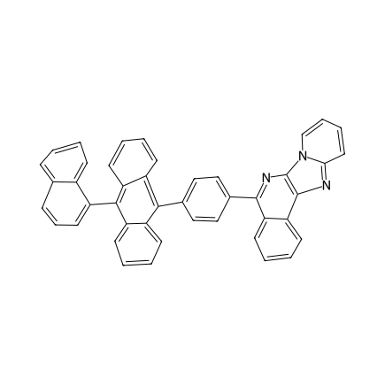 c1ccc2c(-c3c4ccccc4c(-c4ccc(-c5nc6c(nc7ccccn76)c6ccccc56)cc4)c4ccccc34)cccc2c1